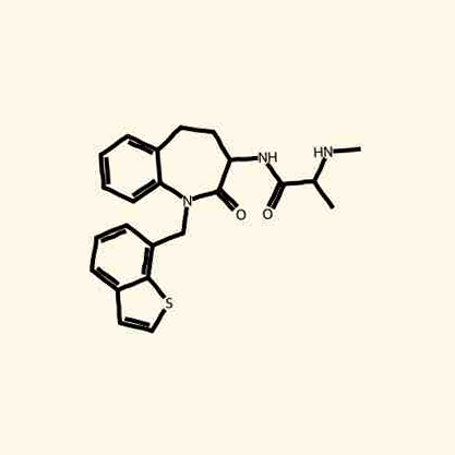 CNC(C)C(=O)NC1CCc2ccccc2N(Cc2cccc3ccsc23)C1=O